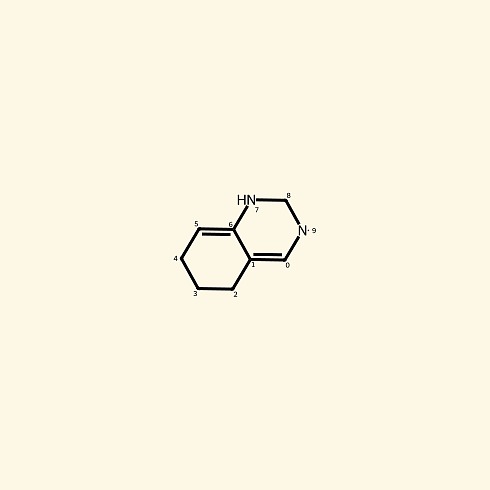 C1=C2CCCC=C2NC[N]1